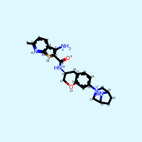 Cc1ccc2c(N)c(C(=O)N[C@@H]3COc4cc(N5CC6CCC(C5)N6)ccc4C3)sc2n1